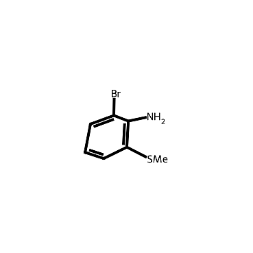 CSc1cccc(Br)c1N